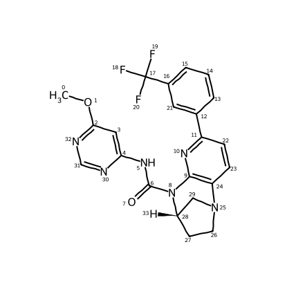 COc1cc(NC(=O)N2c3nc(-c4cccc(C(F)(F)F)c4)ccc3N3CC[C@H]2C3)ncn1